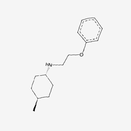 C[C@H]1CC[C@H](NCCOc2ccccc2)CC1